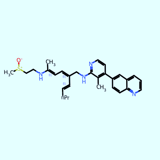 CCC/C=C/C(=C\C=C(/C)NCC[S+](C)[O-])CNc1nccc(-c2ccc3ncccc3c2)c1C